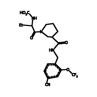 CCC(NC(=O)O)C(=O)N1CCCC(C(=O)NCc2ccc(C#N)cc2OC(F)(F)F)C1